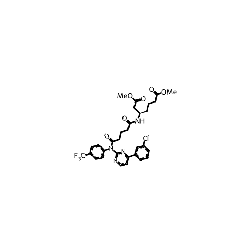 COC(=O)CCC[C@H](CC(=O)OC)NC(=O)CCCC(=O)N(c1ccc(C(F)(F)F)cc1)c1nccc(-c2cccc(Cl)c2)n1